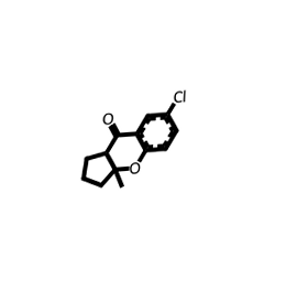 CC12CCCC1C(=O)c1cc(Cl)ccc1O2